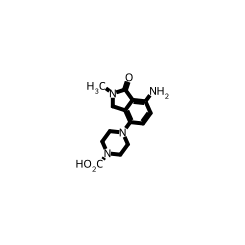 CN1Cc2c(N3CCN(C(=O)O)CC3)ccc(N)c2C1=O